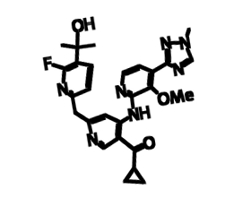 COc1c(-c2ncn(C)n2)ccnc1Nc1cc(Cc2ccc(C(C)(C)O)c(F)n2)ncc1C(=O)C1CC1